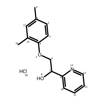 Cc1ccc(OCC(O)c2ccccn2)c(C)c1.Cl